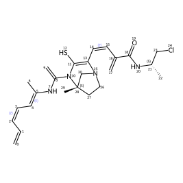 C=C/C=C\C=C(/C)NC(=C)N1C(S)=C(/C=C\C(=C)C(=O)N[C@@H](C)CCl)N2CC[C@@]1(C)C2